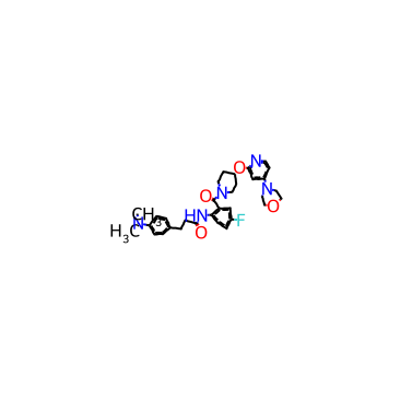 CN(C)c1ccc(CCC(=O)Nc2ccc(F)cc2C(=O)N2CCC(Oc3cc(N4CCOCC4)ccn3)CC2)cc1